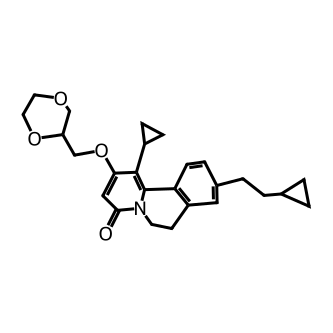 O=c1cc(OCC2COCCO2)c(C2CC2)c2n1CCc1cc(CCC3CC3)ccc1-2